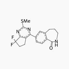 CSc1nc(-c2ccc3c(c2)CCCNC3=O)c2c(n1)C(F)(F)CC2